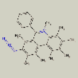 Cc1c(N=[N+]=[N-])c(C)c2c(-c3ccccc3)[n+](C)c3c(C)c(C)c(C)c(C)c3c2c1C